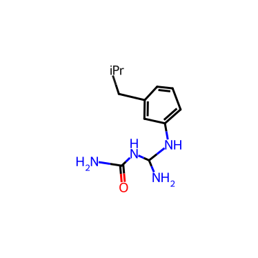 CC(C)Cc1cccc(NC(N)NC(N)=O)c1